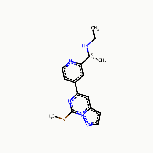 CCN[C@H](C)c1cc(-c2cc3ccnn3c(SC)n2)ccn1